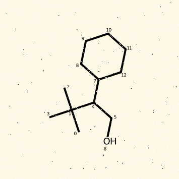 CC(C)(C)C(CO)C1CCCCC1